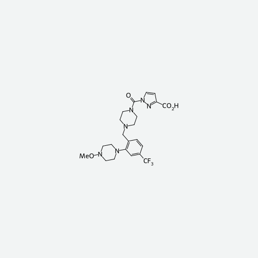 CON1CCN(c2cc(C(F)(F)F)ccc2CN2CCN(C(=O)n3ccc(C(=O)O)n3)CC2)CC1